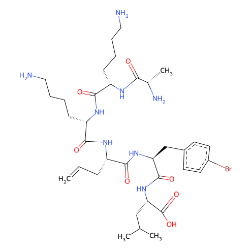 C=CC[C@H](NC(=O)[C@H](CCCCN)NC(=O)[C@H](CCCCN)NC(=O)[C@H](C)N)C(=O)N[C@@H](Cc1ccc(Br)cc1)C(=O)N[C@@H](CC(C)C)C(=O)O